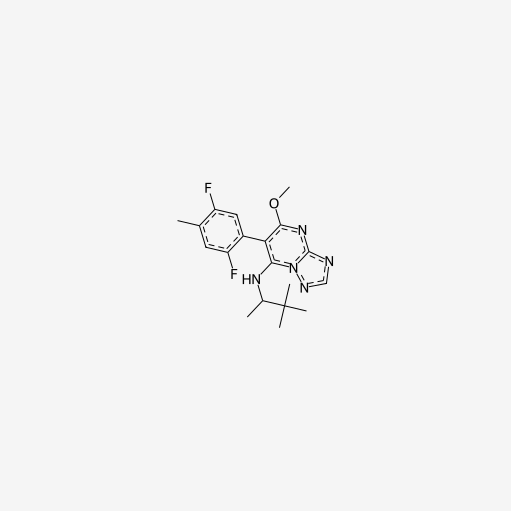 COc1nc2ncnn2c(NC(C)C(C)(C)C)c1-c1cc(F)c(C)cc1F